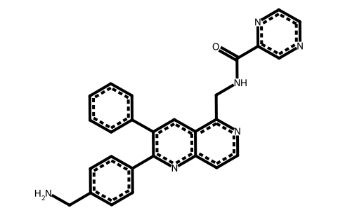 NCc1ccc(-c2nc3ccnc(CNC(=O)c4cnccn4)c3cc2-c2ccccc2)cc1